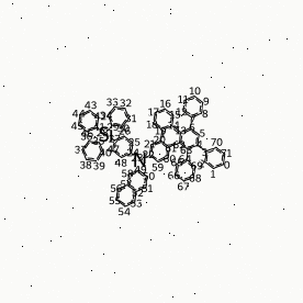 c1ccc(-c2cc(-c3ccccc3)c3c4ccccc4c4cc(N(c5ccc([Si](c6ccccc6)(c6ccccc6)c6ccccc6)cc5)c5ccc6ccccc6c5)ccc4c3c2-c2ccccc2)cc1